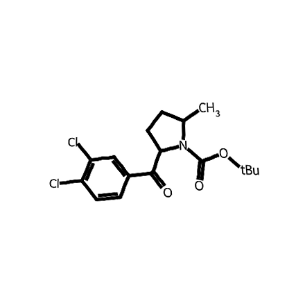 CC1CCC(C(=O)c2ccc(Cl)c(Cl)c2)N1C(=O)OC(C)(C)C